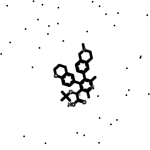 Cc1nc(C)c([C@H](OC(C)(C)C)C(=O)O)c(-c2ccc3c(c2)CCCO3)c1-c1ccc2c(c1)CCN(C)C2